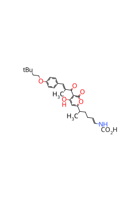 C/C(=C\c1ccc(OCCC(C)(C)C)cc1)C(=O)c1c(O)cc(C(C)CCC=CNC(=O)O)oc1=O